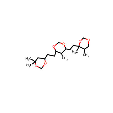 CC1C(CCC2CC(C)(C)OCO2)OCOC1CCC1(C)OCOCC1C